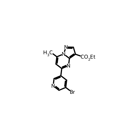 CCOC(=O)c1cnn2c(C)cc(-c3cncc(Br)c3)nc12